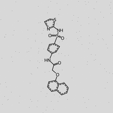 O=C(COc1cccc2ccccc12)Nc1ccc(S(=O)(=O)Nc2nccs2)cc1